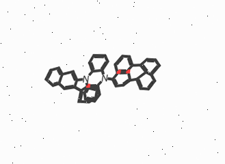 c1ccc(-c2cccc3cccc(-c4ccc(N(c5ccccc5)c5ccccc5-n5c6ccccc6c6cc7ccccc7cc65)cc4)c23)cc1